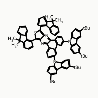 CC(C)(C)c1ccc2c(c1)c1cc(C(C)(C)C)ccc1n2-c1ccc2c(c1)c1cc(-n3c4ccc(C(C)(C)C)cc4c4cc(C(C)(C)C)ccc43)ccc1c1nc3c(-c4cccc5c4-c4ccccc4C5(C)C)sc(-c4cccc5c4-c4ccccc4C5(C)C)c3nc21